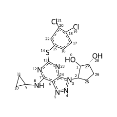 OC1C(n2nnc3c(NC4CC4)nc(Sc4ccc(Cl)c(Cl)c4)nc32)CC[C@H]1O